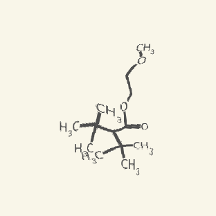 COCCOC(=O)C(C(C)(C)C)C(C)(C)C